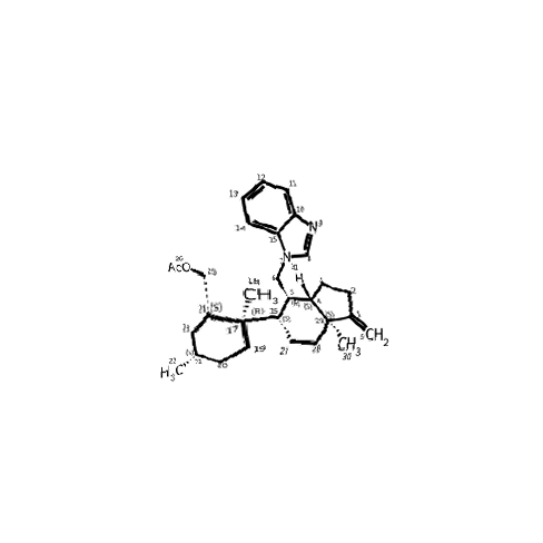 C=C1CC[C@H]2[C@H](Cn3cnc4ccccc43)[C@@H]([C@@]3(C)CC[C@H](C)C[C@@H]3COC(C)=O)CC[C@]12C